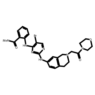 CNC(=O)c1ccccc1Nc1nc(Nc2ccc3c(c2)CN(CC(=O)N2CCOCC2)CC3)ncc1Br